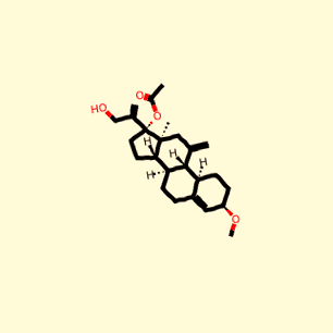 C=C1C[C@@]2(C)[C@@H](CC[C@@]2(OC(C)=O)C(=C)CO)[C@@H]2CCC3=C[C@H](OC)CC[C@@H]3[C@@H]12